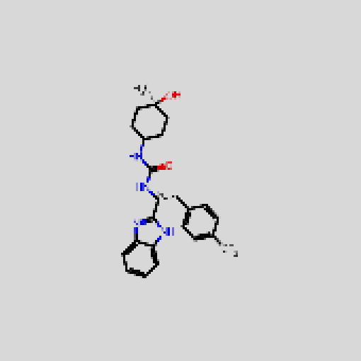 C[C@]1(O)CC[C@@H](NC(=O)N[C@H](Cc2ccc(C(F)(F)F)cc2)c2nc3ccccc3[nH]2)CC1